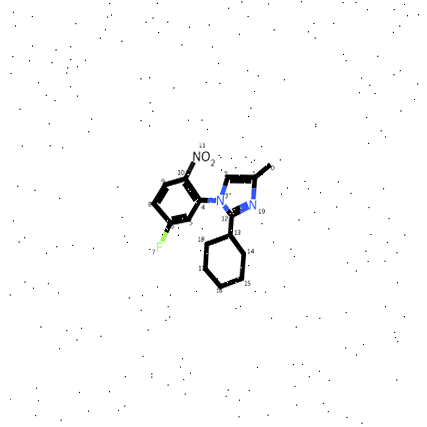 Cc1cn(-c2cc(F)ccc2[N+](=O)[O-])c(C2CCCCC2)n1